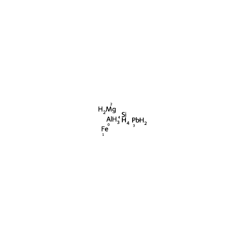 [AlH3].[Fe].[MgH2].[PbH2].[SiH4]